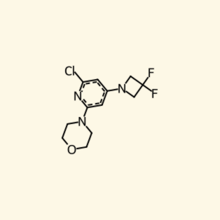 FC1(F)CN(c2cc(Cl)nc(N3CCOCC3)c2)C1